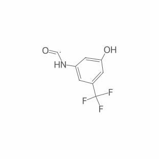 O=[C]Nc1cc(O)cc(C(F)(F)F)c1